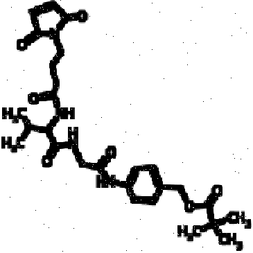 CC(C)C(NC(=O)CCCN1C(=O)C=CC1=O)C(=O)NCC(=O)Nc1ccc(COC(=O)C(C)(C)C)cc1